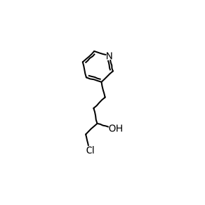 OC(CCl)CCc1cccnc1